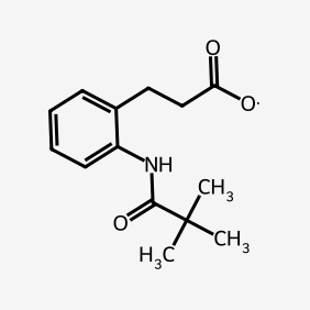 CC(C)(C)C(=O)Nc1ccccc1CCC([O])=O